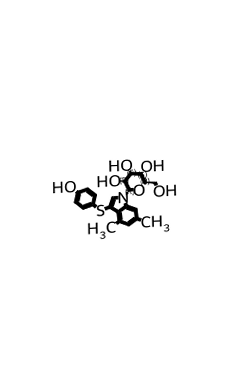 Cc1cc(C)c2c(Sc3ccc(O)cc3)cn([C@@H]3O[C@H](CO)[C@@H](O)[C@H](O)[C@H]3O)c2c1